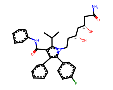 CC(C)c1c(C(=O)Nc2ccccc2)c(-c2ccccc2)c(-c2ccc(F)cc2)n1CC[C@@H](O)C[C@@H](O)CC(N)=O